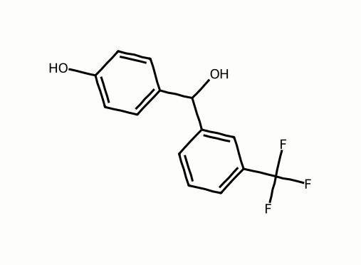 Oc1ccc(C(O)c2cccc(C(F)(F)F)c2)cc1